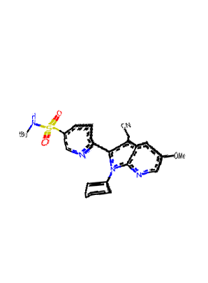 COc1cnc2c(c1)c(C#N)c(-c1ccc(S(=O)(=O)NC(C)(C)C)cn1)n2C1=CC=C1